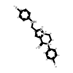 O=C1c2cc(CNc3ccc(F)cc3)nn2CCN1c1ccc(F)cc1